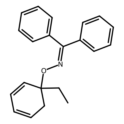 CCC1(ON=C(c2ccccc2)c2ccccc2)C=CC=CC1